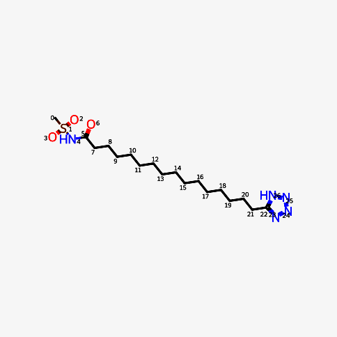 CS(=O)(=O)NC(=O)CCCCCCCCCCCCCCCc1nnn[nH]1